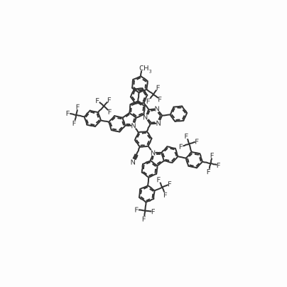 Cc1ccc(-c2ccc3c(c2)c2cc(-c4ccc(C(F)(F)F)cc4C(F)(F)F)ccc2n3-c2cc(C#N)c(-n3c4ccc(-c5ccc(C(F)(F)F)cc5C(F)(F)F)cc4c4cc(-c5ccc(C(F)(F)F)cc5C(F)(F)F)ccc43)cc2-c2nc(-c3ccccc3)nc(-c3ccccc3)n2)c(C(F)(F)F)c1